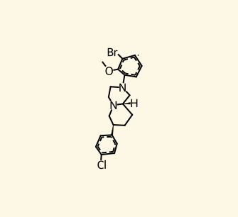 COc1c(Br)[c]ccc1N1CCN2C[C@H](c3ccc(Cl)cc3)CC[C@H]2C1